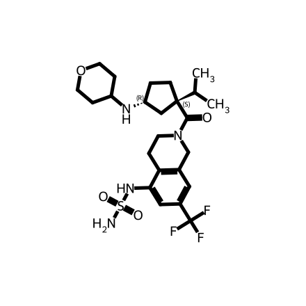 CC(C)[C@]1(C(=O)N2CCc3c(cc(C(F)(F)F)cc3NS(N)(=O)=O)C2)CC[C@@H](NC2CCOCC2)C1